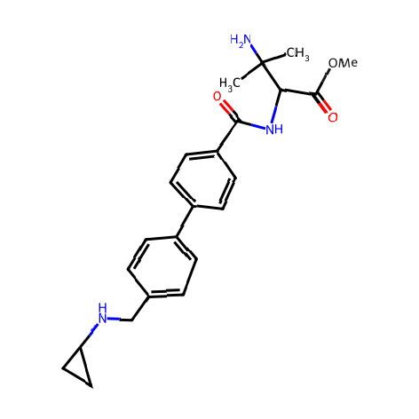 COC(=O)C(NC(=O)c1ccc(-c2ccc(CNC3CC3)cc2)cc1)C(C)(C)N